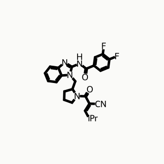 CC(C)C=C(C#N)C(=O)N1CCCC1Cn1c(NC(=O)c2ccc(F)c(F)c2)nc2ccccc21